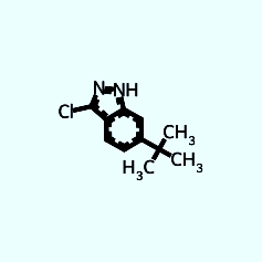 CC(C)(C)c1ccc2c(Cl)n[nH]c2c1